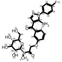 CN(C(=O)COc1cccc(C(=O)c2cnn(-c3ccc(F)cc3)c2N)c1)[C@@H]1OC(CO)[C@@H](O)C(O)[C@H]1O